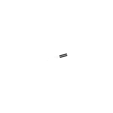 P=S.[SiH4].[SnH2]